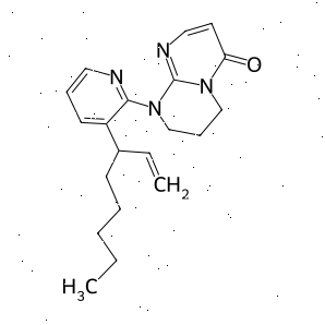 C=CC(CCCCC)c1cccnc1N1CCCn2c1nccc2=O